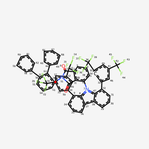 O=C1c2cccc(-n3c4c(-c5cc(C(F)(F)F)cc(C(F)(F)F)c5)cccc4c4cccc(-c5cc(C(F)(F)F)cc(C(F)(F)F)c5)c43)c2C(=O)N1c1cccc(-c2ccccc2)c1-c1ccccc1